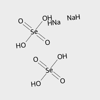 O=[Se](=O)(O)O.O=[Se](=O)(O)O.[NaH].[NaH]